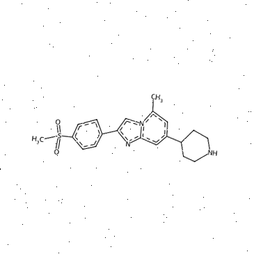 Cc1cc(C2CCNCC2)cc2nc(-c3ccc(S(C)(=O)=O)cc3)cn12